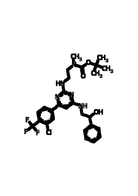 CN(CCNc1nc(NCC(O)c2ccccc2)cc(-c2ccc(C(F)(F)F)c(Cl)c2)n1)C(=O)OC(C)(C)C